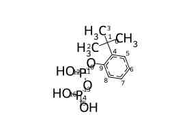 CC(C)(C)c1ccccc1OP(O)OP(O)O